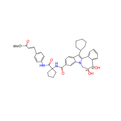 COC(=O)C=Cc1ccc(NC(=O)C2(NC(=O)c3ccc4c(C5CCCCC5)c5n(c4c3)C[C@H](O)[C@H](O)c3ccccc3-5)CCCC2)cc1